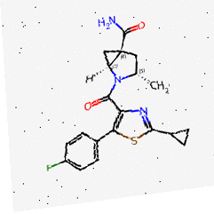 [CH2][C@H]1C[C@@]2(C(N)=O)C[C@@H]2N1C(=O)c1nc(C2CC2)sc1-c1ccc(F)cc1